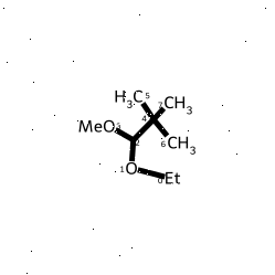 CCOC(OC)C(C)(C)C